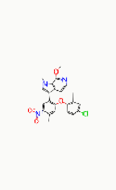 COc1nccc2c(-c3cc([N+](=O)[O-])c(C)cc3Oc3ccc(Cl)cc3C)cn(C)c12